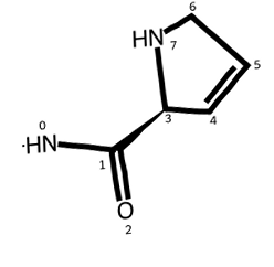 [NH]C(=O)[C@@H]1C=CCN1